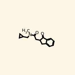 CN(CC1CC1)C(=O)CC1Cc2ccccc2C1=O